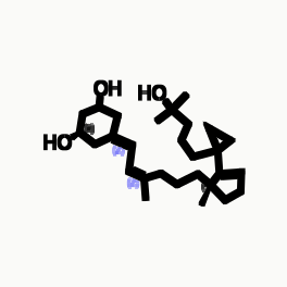 C/C(=C/C=C1/CC(O)C[C@H](O)C1)CCC[C@@]1(C)CCC=C1C1(CCCC(C)(C)O)CC1